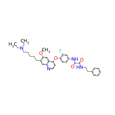 CCN(CC)CCCCCc1cc2nccc(Oc3ccc(NC(=O)C(=O)NCCc4ccccc4)cc3F)c2cc1OC